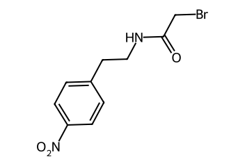 O=C(CBr)NCCc1ccc([N+](=O)[O-])cc1